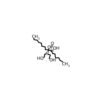 CCCCCCCCC(CCCCCCCC)(O[PH](=O)O)N(CCO)CCO